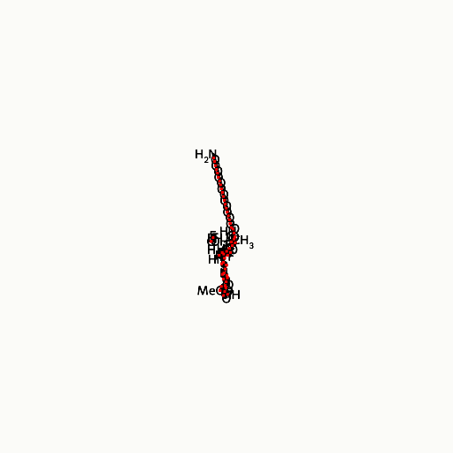 COc1ccc(C(=O)N2CCC3(CCN(CCc4ccc(-c5cc6c(-c7cc(F)cc(NC(=O)c8ccc(C(C)(C)OC(=O)CNC(=O)CCOCCOCCOCCOCCOCCOCCOCCOCCOCCOCCOCCOCCN)cc8F)c7C)ncnc6[nH]5)cc4)CC3)CC2)cc1N1CCC(=O)NC1=O.O=C(O)C(F)(F)F